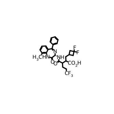 Cc1cccc2c1NC(=O)[C@@H](NC(=O)C(CCC(F)(F)F)C(CC1CC(F)(F)C1)C(=O)O)N=C2c1ccccc1